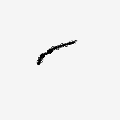 CN(C(=O)OC(C)(C)C)c1ccc(/C=C/c2ccc(OCCOCCOCCOCCOCCF)cc2)cc1